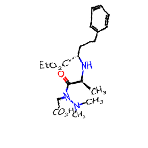 CCOC(=O)[C@H](CCc1ccccc1)N[C@@H](C)C(=O)N(CC(=O)O)N(C)C